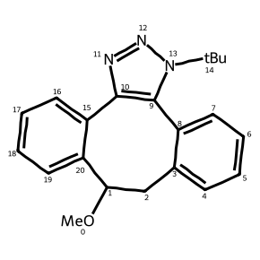 COC1Cc2ccccc2-c2c(nnn2C(C)(C)C)-c2ccccc21